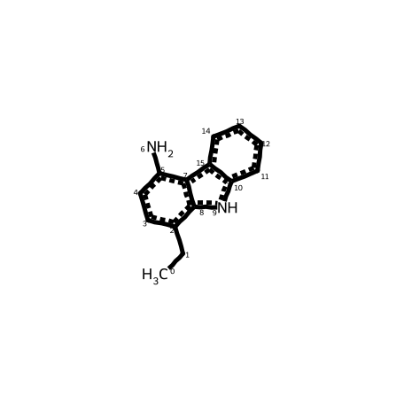 CCc1ccc(N)c2c1[nH]c1ccccc12